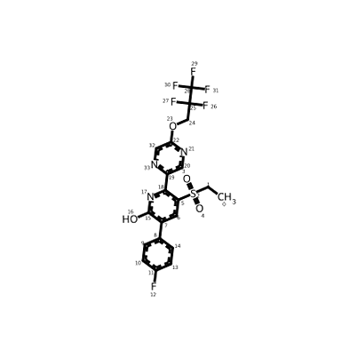 CCS(=O)(=O)c1cc(-c2ccc(F)cc2)c(O)nc1-c1cnc(OCC(F)(F)C(F)(F)F)cn1